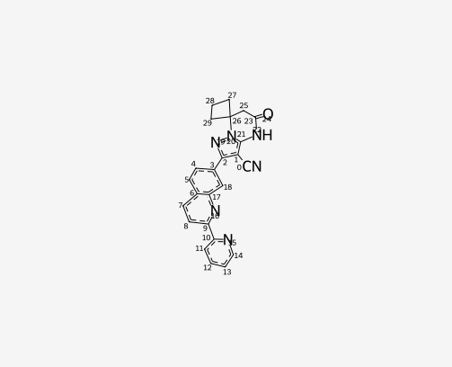 N#Cc1c(-c2ccc3ccc(-c4ccccn4)nc3c2)nn2c1NC(=O)CC21CCC1